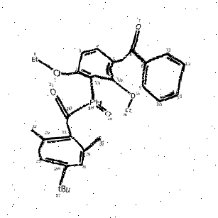 CCOc1ccc(C(=O)c2ccccc2)c(OCC)c1[PH](=O)C(=O)c1c(C)cc(C(C)(C)C)cc1C